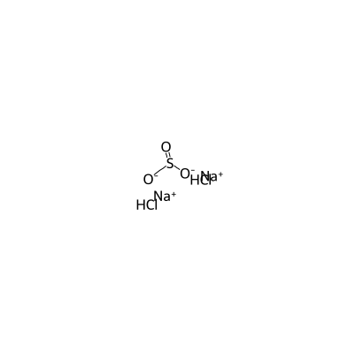 Cl.Cl.O=S([O-])[O-].[Na+].[Na+]